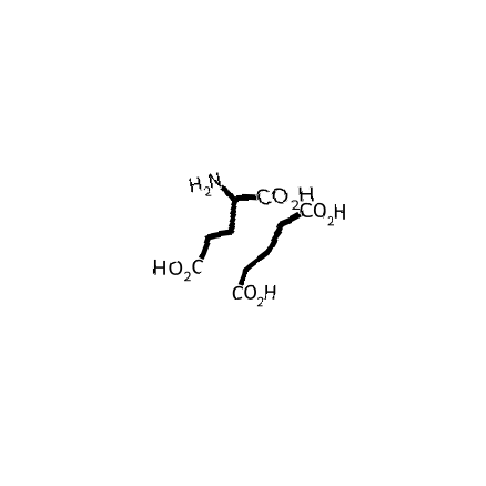 NC(CCC(=O)O)C(=O)O.O=C(O)CCCC(=O)O